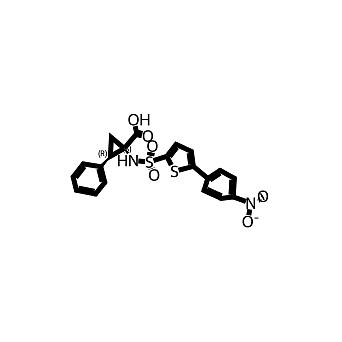 O=C(O)[C@]1(NS(=O)(=O)c2ccc(-c3ccc([N+](=O)[O-])cc3)s2)C[C@@H]1c1ccccc1